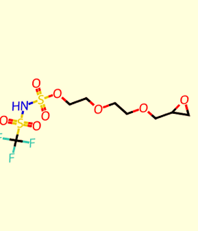 O=S(=O)(NS(=O)(=O)C(F)(F)F)OCCOCCOCC1CO1